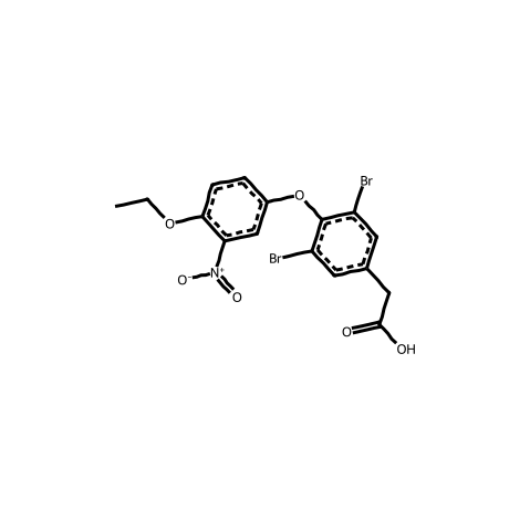 CCOc1ccc(Oc2c(Br)cc(CC(=O)O)cc2Br)cc1[N+](=O)[O-]